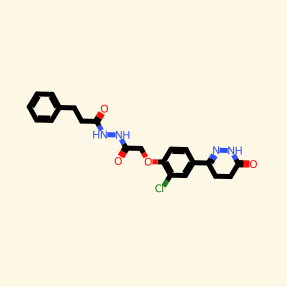 O=C1CCC(c2ccc(OCC(=O)NNC(=O)CCc3ccccc3)c(Cl)c2)=NN1